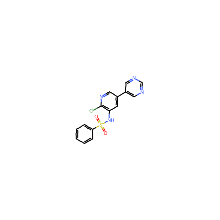 O=S(=O)(Nc1cc(-c2cncnc2)cnc1Cl)c1ccccc1